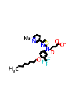 CCCCCCCCOc1ccc(N(C(=O)CCC(=O)[O-])c2nc(-c3cccnc3)cs2)cc1C(F)(F)F.[Na+]